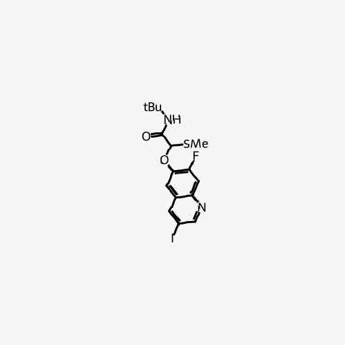 CSC(Oc1cc2cc(I)cnc2cc1F)C(=O)NC(C)(C)C